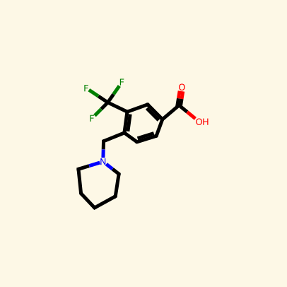 O=C(O)c1ccc(CN2CCCCC2)c(C(F)(F)F)c1